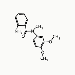 COc1ccc(N(C)C(=O)c2ccccc2N)cc1OC